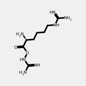 N=C(N)NCCCC[C@H](N)C(=O)ONC(=N)N